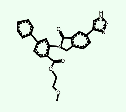 COCCOC(=O)c1ccc(-c2ccccc2)cc1N1Cc2ccc(-c3c[nH]nn3)cc2C1=O